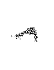 C=C(C)C(=O)Oc1ccc2cc(C(=O)Oc3ccc(C(=O)Oc4ccc5ccccc5c4-c4c(OC(=O)c5ccc(C6CCC(CCC)CC6)cc5)ccc5ccccc45)cc3)ccc2c1